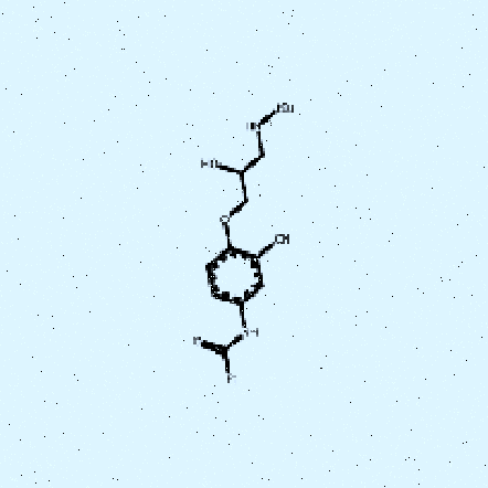 CCC(=O)Nc1ccc(OCC(O)CNC(C)(C)C)c(C#N)c1